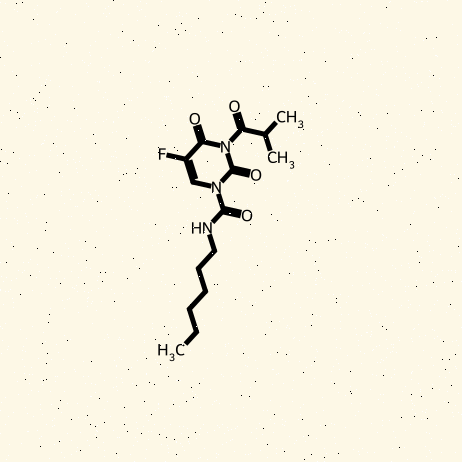 CCCCCCNC(=O)n1cc(F)c(=O)n(C(=O)C(C)C)c1=O